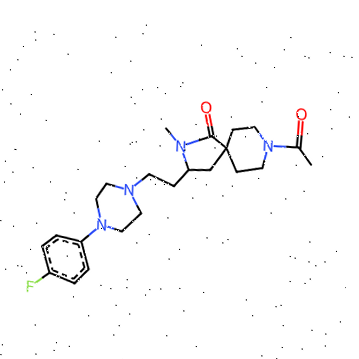 CC(=O)N1CCC2(CC1)CC(CCN1CCN(c3ccc(F)cc3)CC1)N(C)C2=O